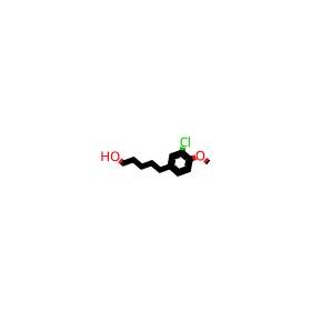 COc1ccc(CCCCCO)cc1Cl